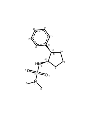 CN(C)S(=O)(=O)N[C@@H]1CCC[C@@H]1c1ccccc1